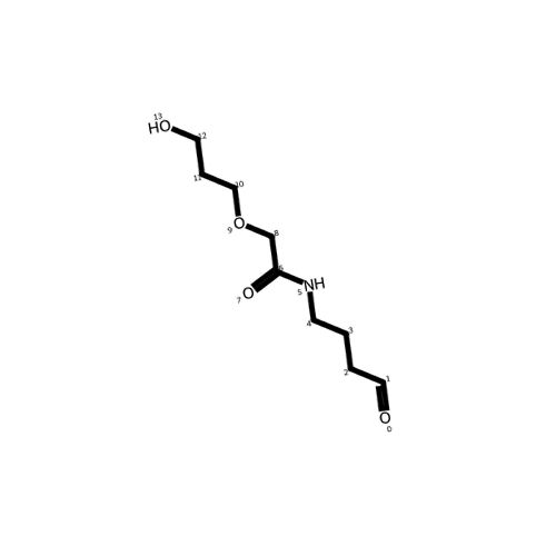 O=CCCCNC(=O)COCCCO